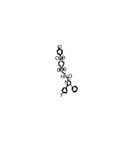 O=C(NCCS(=O)(=O)N1CCN(S(=O)(=O)c2ccc(Cl)cc2)CC1)N1C[C@@H](c2ccccc2)C(c2ccc(F)cc2)=N1